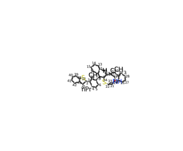 CCCc1c(-c2cccc(-c3c4c(cc5ccccc35)\C3=C/C=C\C(=C/Nc5ccccc5C3(C)C)S4)c2C)sc2ccccc12